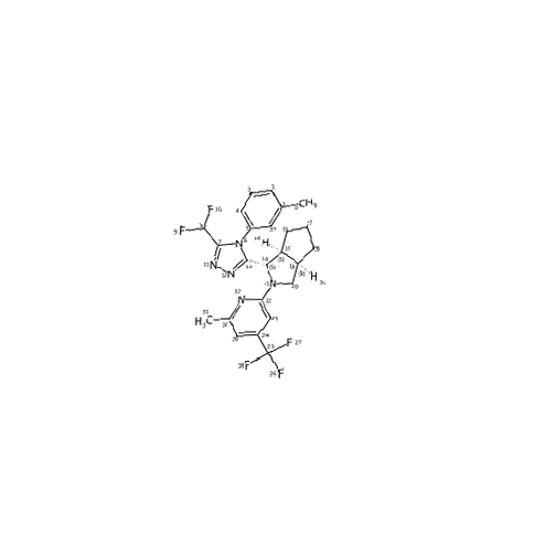 Cc1cccc(-n2c(C(F)F)nnc2[C@@H]2[C@H]3CCC[C@H]3CN2c2cc(C(F)(F)F)cc(C)n2)c1